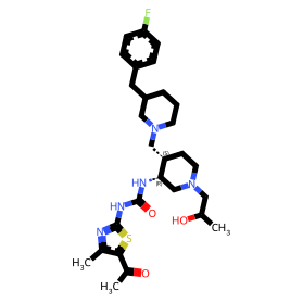 CC(=O)c1sc(NC(=O)N[C@H]2CN(CC(C)O)CC[C@H]2CN2CCCC(Cc3ccc(F)cc3)C2)nc1C